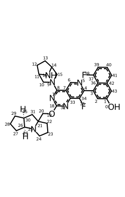 Oc1cc(-c2ncc3c(N4CC5CCC(C4)N5)nc(OCC45CCCN4[C@H]4CCC[C@H]4C5)nc3c2F)c2c(F)cccc2c1